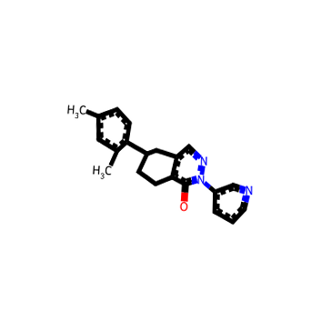 Cc1ccc(C2CCc3c(cnn(-c4cccnc4)c3=O)C2)c(C)c1